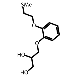 CSCCOc1ccccc1OCC(O)CO